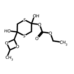 CCOC(=O)OC1(O)CSC(O)(C2OC(C)O2)CS1